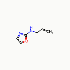 C=CCNc1ncco1